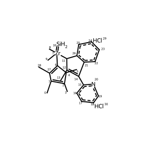 CC1=C(C)C(C)[C]([Zr]([CH3])([CH3])(=[SiH2])[CH]2C(C)=C(c3ccccn3)c3ccccc32)=C1C.Cl.Cl